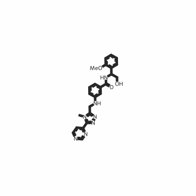 COc1ccccc1C(CO)NC(=O)c1cccc(NCc2nnc(-c3ccncn3)n2C)c1